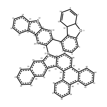 C1=CC2Oc3cccc(-c4nc5sc6ccccc6c5nc4-n4c5cc6ccccc6cc5c5c6c7ccccc7c7ccccc7c6ccc54)c3C2C=C1